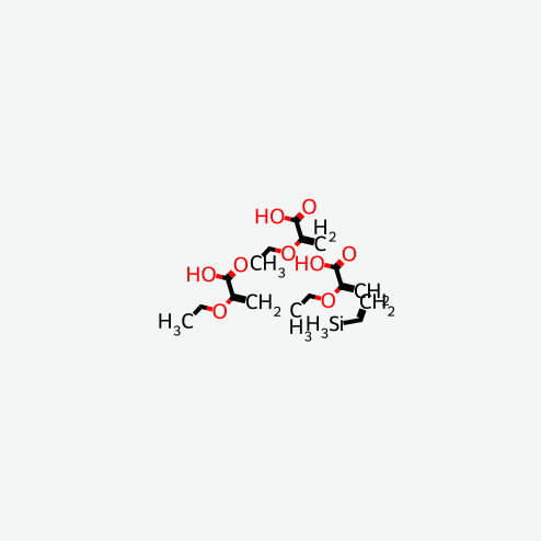 C=C(OCC)C(=O)O.C=C(OCC)C(=O)O.C=C(OCC)C(=O)O.C=C[SiH3]